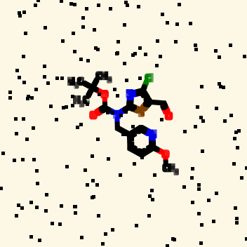 COc1ccc(CN(C(=O)OC(C)(C)C)c2nc(Cl)c(C=O)s2)cn1